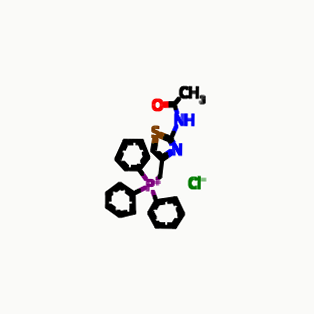 CC(=O)Nc1nc(C[P+](c2ccccc2)(c2ccccc2)c2ccccc2)cs1.[Cl-]